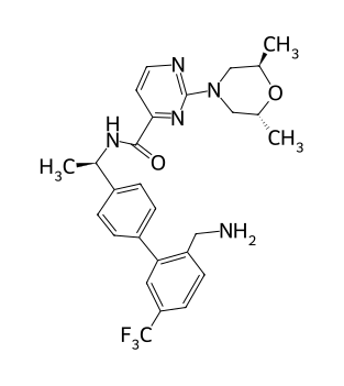 C[C@@H]1CN(c2nccc(C(=O)N[C@H](C)c3ccc(-c4cc(C(F)(F)F)ccc4CN)cc3)n2)C[C@@H](C)O1